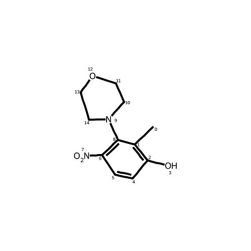 Cc1c(O)ccc([N+](=O)[O-])c1N1CCOCC1